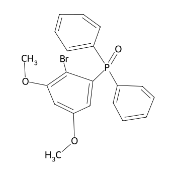 COc1cc(OC)c(Br)c(P(=O)(c2ccccc2)c2ccccc2)c1